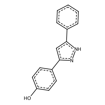 Oc1ccc(-c2cc(-c3ccccc3)[nH]n2)cc1